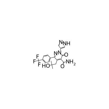 CC(C)(O)Cc1c(-c2ccc(C(F)(F)F)cc2)nn(-c2cn[nH]c2)c(=O)c1C(N)=O